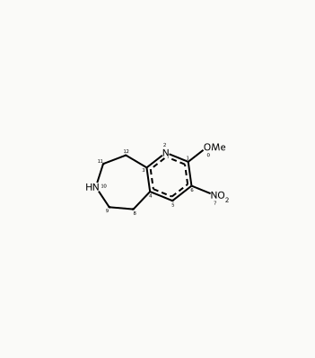 COc1nc2c(cc1[N+](=O)[O-])CCNCC2